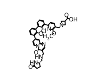 COc1nc(-c2cccc(-c3cccc(-c4ccn5c(=O)c(CNC[C@H]6CCC(=O)N6)cnc5c4)c3Cl)c2Cl)ccc1CN1CC(C(=O)O)C1